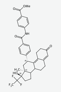 COC(=O)c1ccc(NC(=O)c2ccc([C@H]3C[C@@]4(C)C(CC[C@]4(O)C(F)(F)C(F)(F)F)C4CCC5=CC(=O)CCC5=C43)cc2)cc1